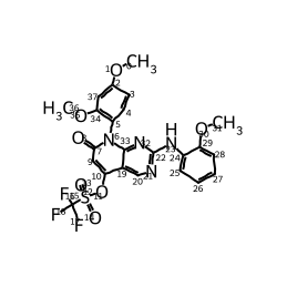 COc1ccc(-n2c(=O)cc(OS(=O)(=O)C(F)(F)F)c3cnc(Nc4ccccc4OC)nc32)c(OC)c1